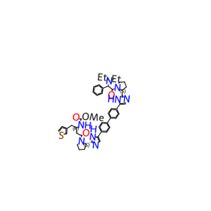 CCN(CC)C(C(=O)N1CCC[C@H]1c1ncc(-c2ccc(-c3ccc(-c4cnc([C@@H]5CCCN5C(=O)C[C@@H](Cc5ccsc5)NC(=O)OC)[nH]4)cc3)cc2)[nH]1)c1ccccc1